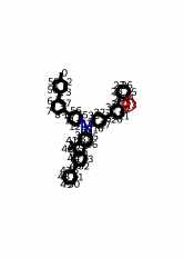 Cc1ccc(-c2cccc(-c3ccc(N(c4ccc(-c5ccc6oc7ccccc7c6c5)cc4)c4ccc5c(c4)C(C)(C)c4cc(-c6ccccc6)ccc4-5)cc3)c2)cc1